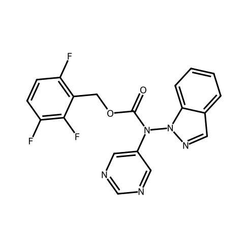 O=C(OCc1c(F)ccc(F)c1F)N(c1cncnc1)n1ncc2ccccc21